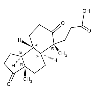 C[C@]1(CCC(=O)O)C(=O)CC[C@@H]2[C@@H]1CC[C@]1(C)C(=O)CC[C@@H]21